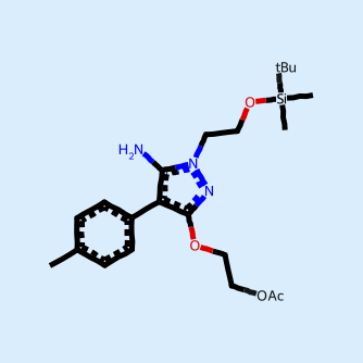 CC(=O)OCCOc1nn(CCO[Si](C)(C)C(C)(C)C)c(N)c1-c1ccc(C)cc1